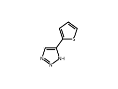 [c]1nn[nH]c1-c1cccs1